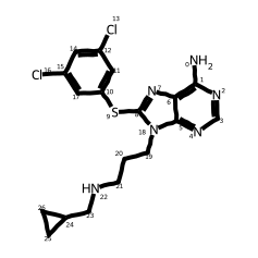 Nc1ncnc2c1nc(Sc1cc(Cl)cc(Cl)c1)n2CCCNCC1CC1